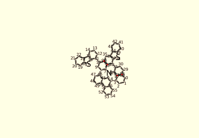 c1ccc(-c2c(N(c3ccc(-c4cccc5c4sc4ccccc45)cc3)c3ccccc3-c3cccc4c3sc3ccccc34)c3ccccc3c3ccccc23)cc1